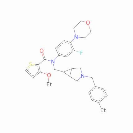 CCOc1ccsc1C(=O)N(CC1C2CN(Cc3ccc(CC)cc3)CC21)c1ccc(N2CCOCC2)c(F)c1